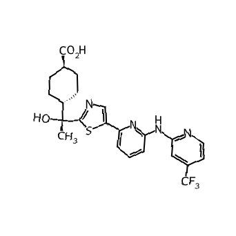 C[C@](O)(c1ncc(-c2cccc(Nc3cc(C(F)(F)F)ccn3)n2)s1)[C@H]1CC[C@H](C(=O)O)CC1